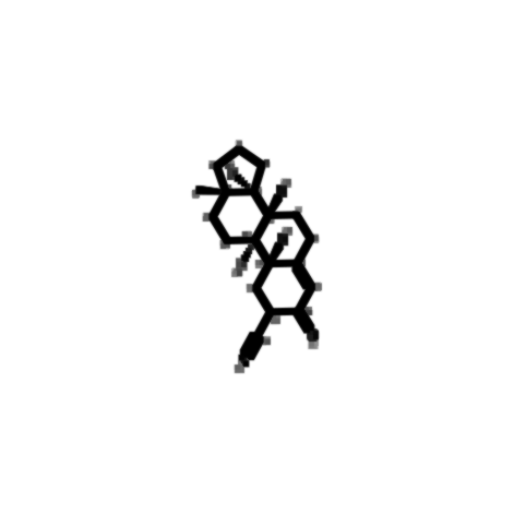 C[C@@]12CCC[C@H]1[C@@H]1CCC3=CC(=O)C(C#N)C[C@@H]3[C@H]1CC2